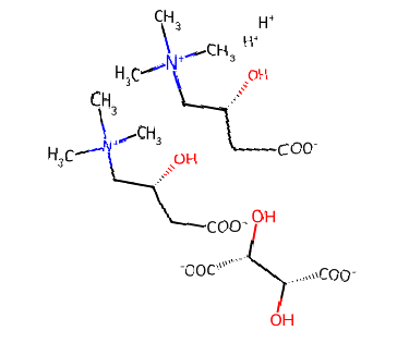 C[N+](C)(C)C[C@H](O)CC(=O)[O-].C[N+](C)(C)C[C@H](O)CC(=O)[O-].O=C([O-])[C@H](O)[C@@H](O)C(=O)[O-].[H+].[H+]